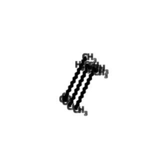 CCCCCCCCCCCCCCCCCCOP(=O)([O-])[O-].CCCCCCCCCCCCCCCCCC[N+](C)(C)C.CCCCCCCCCCCCCCCCCC[N+](C)(C)C